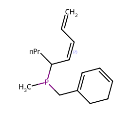 C=C/C=C\C(CCC)P(C)CC1=CC=CCC1